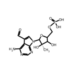 C[C@@]1(O)C(O)C(COP(=O)(O)O)OC1n1cc(C=O)c2c(N)ncnc21